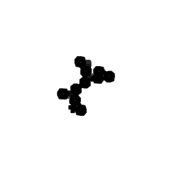 CC1(C)c2ccccc2-c2cc3c4cc(-c5ccc6c(c5)c5cc7c(cc5n6-c5ccc6c8c(cccc58)-c5ccccc5-6)oc5ccccc57)ccc4n(-c4ccccc4)c3cc21